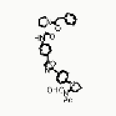 CC(=O)N(C=O)C1CCCN1c1ccc(-c2ncc(-c3ccc(NC(=O)[C@@H]4CCCN4C(=O)Cc4ccccc4)cc3)o2)cc1